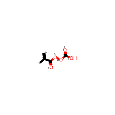 C=C(C)C(=O)OOC(=O)O